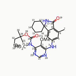 COc1c(Nc2cc(C)c3c(c2)C2(CCCCC2)NC3=O)ncnc1N(C(=O)O)C(=O)OC(C)(C)CC(C)(C)C